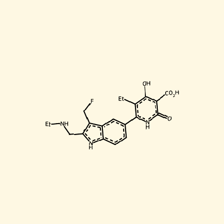 CCNCc1[nH]c2ccc(-c3[nH]c(=O)c(C(=O)O)c(O)c3CC)cc2c1CF